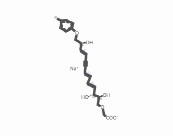 O=C([O-])COC[C@H](O)[C@H](O)/C=C/C=C/C#C/C=C/[C@H](O)COc1ccc(F)cc1.[Na+]